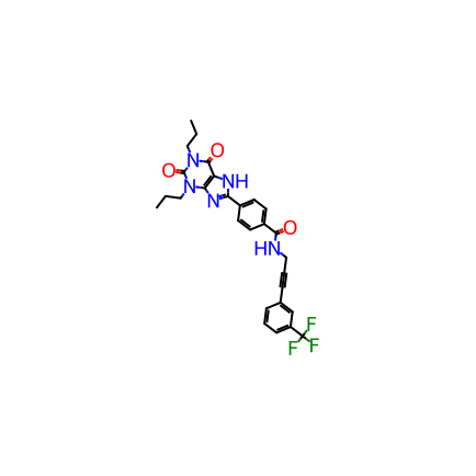 CCCn1c(=O)c2[nH]c(-c3ccc(C(=O)NCC#Cc4cccc(C(F)(F)F)c4)cc3)nc2n(CCC)c1=O